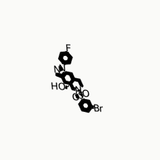 O=S(=O)(c1cccc(Br)c1)N1CCC2=Cc3c(cnn3-c3ccc(F)cc3)C[C@]2(CO)C1